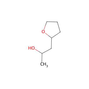 CC(O)CC1CCCO1